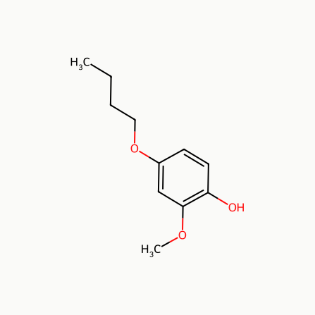 CCCCOc1ccc(O)c(OC)c1